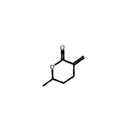 C=C1CCC(C)OC1=O